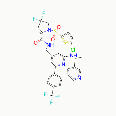 CC(Nc1cc(CNC(=O)[C@@H]2CC(F)(F)CN2S(=O)(=O)c2ccc(Cl)s2)cc(-c2ccc(C(F)(F)F)cc2)n1)c1cccnc1